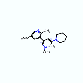 CNc1cnc(C)c(C(=C/NC=O)/C=C(\C)N2CCCCC2)c1